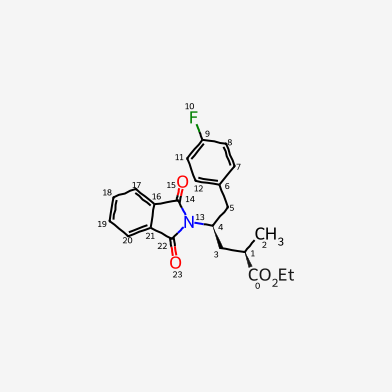 CCOC(=O)[C@H](C)C[C@H](Cc1ccc(F)cc1)N1C(=O)c2ccccc2C1=O